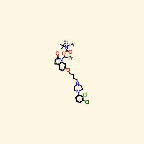 CCC(C)(C)N(C(=O)OC(C(C)C)n1c(=O)ccc2ccc(OCCCCN3CCN(c4cccc(Cl)c4Cl)CC3)cc21)C(C)C